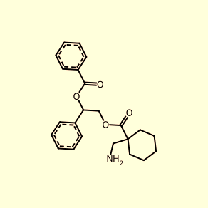 NCC1(C(=O)OCC(OC(=O)c2ccccc2)c2ccccc2)CCCCC1